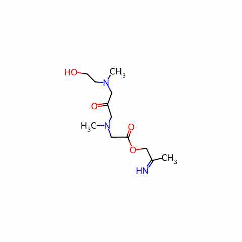 CC(=N)COC(=O)CN(C)CC(=O)CN(C)CCO